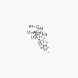 COC(=O)CCC(CC(CC(CC(=O)c1c(C)cc(C)cc1C)C(=O)OC)C(=O)OC)C(=O)OC